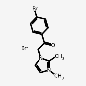 Cc1n(CC(=O)c2ccc(Br)cc2)cc[n+]1C.[Br-]